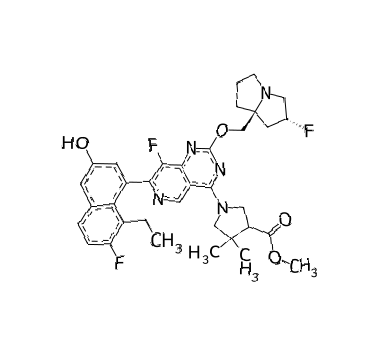 CCc1c(F)ccc2cc(O)cc(-c3ncc4c(N5CC(C(=O)OC)C(C)(C)C5)nc(OC[C@@]56CCCN5C[C@H](F)C6)nc4c3F)c12